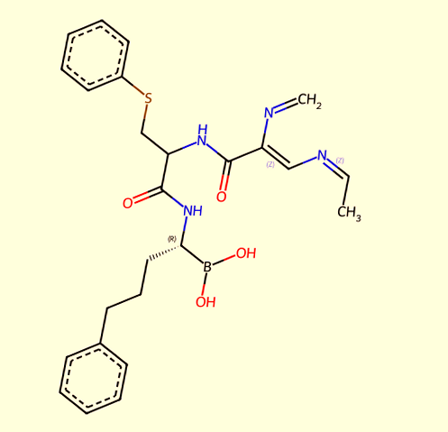 C=N/C(=C\N=C/C)C(=O)NC(CSc1ccccc1)C(=O)N[C@@H](CCCc1ccccc1)B(O)O